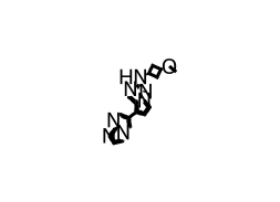 CO[C@H]1C[C@@H](Nc2ncc3c(-c4cnc5nccn5c4)ccn3n2)C1